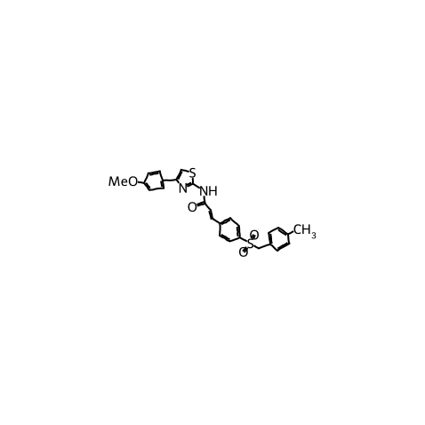 COc1ccc(-c2csc(NC(=O)C=Cc3ccc(S(=O)(=O)Cc4ccc(C)cc4)cc3)n2)cc1